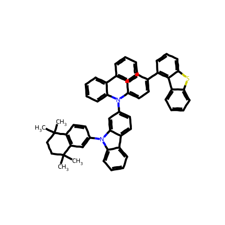 CC1(C)CCC(C)(C)c2cc(-n3c4ccccc4c4ccc(N(c5ccc(-c6cccc7sc8ccccc8c67)cc5)c5ccccc5-c5ccccc5)cc43)ccc21